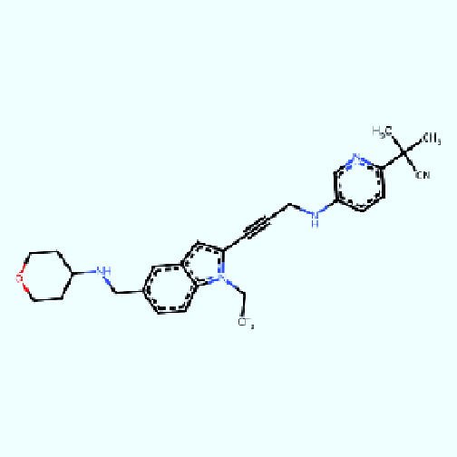 CC(C)(C#N)c1ccc(NCC#Cc2cc3cc(CNC4CCOCC4)ccc3n2CC(F)(F)F)cn1